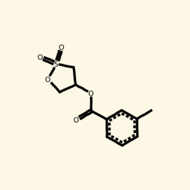 Cc1cccc(C(=O)OC2COS(=O)(=O)C2)c1